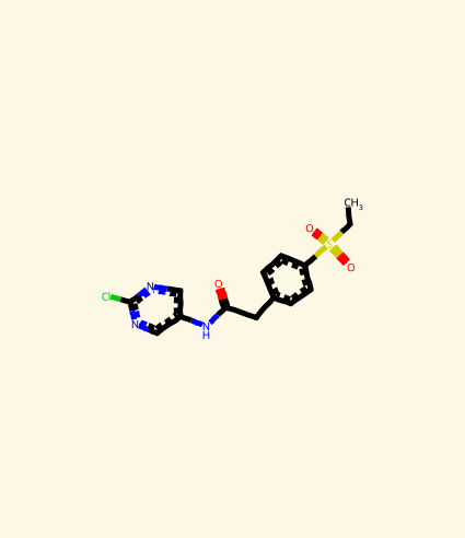 CCS(=O)(=O)c1ccc(CC(=O)Nc2cnc(Cl)nc2)cc1